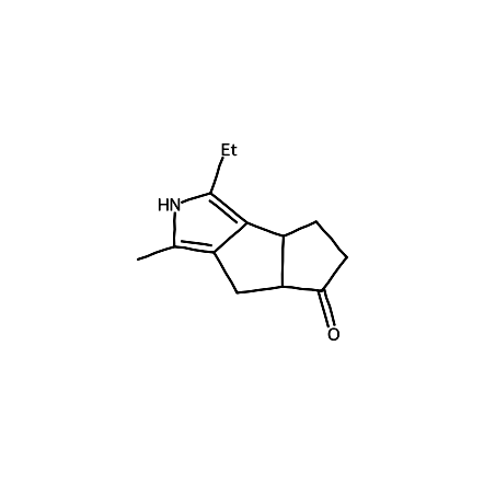 CCc1[nH]c(C)c2c1C1CCC(=O)C1C2